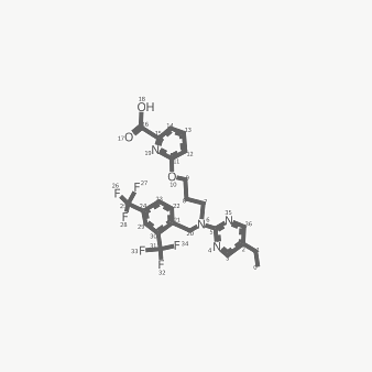 CCc1cnc(N(CCCOc2cccc(C(=O)O)n2)Cc2ccc(C(F)(F)F)cc2C(F)(F)F)nc1